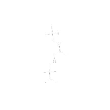 CN(SC(F)(F)F)C(=O)O/N=C/C(C)(C)[N+](=O)[O-]